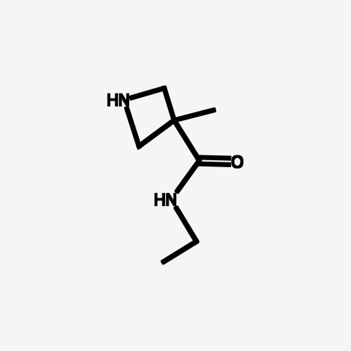 CCNC(=O)C1(C)CNC1